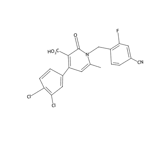 Cc1cc(-c2ccc(Cl)c(Cl)c2)c(C(=O)O)c(=O)n1Cc1ccc(C#N)cc1F